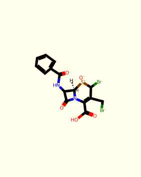 O=C(O)C1=C(CBr)C(Br)[S+]([O-])[C@@H]2C(NC(=O)c3ccccc3)C(=O)N12